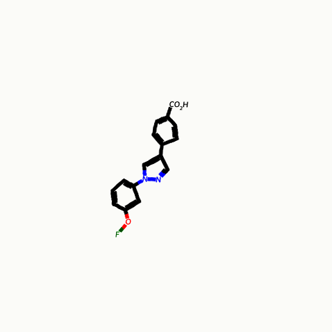 O=C(O)c1ccc(-c2cnn(-c3cccc(OF)c3)c2)cc1